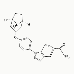 CN1[C@@H]2CC[C@H]1C[C@H](Oc1ccc(-n3ncc4cc(C(N)=O)ccc43)cc1)C2